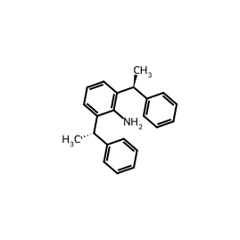 C[C@@H](c1ccccc1)c1cccc([C@@H](C)c2ccccc2)c1N